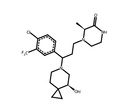 C[C@H]1C(=O)NCCN1CCC(c1ccc(Cl)c(C(F)(F)F)c1)N1CCC2(CC2)[C@H](O)C1